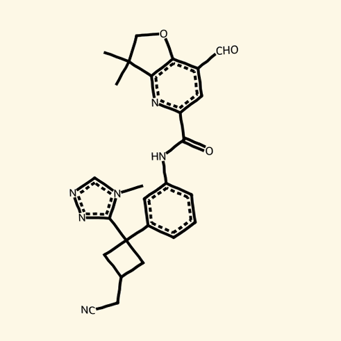 Cn1cnnc1C1(c2cccc(NC(=O)c3cc(C=O)c4c(n3)C(C)(C)CO4)c2)CC(CC#N)C1